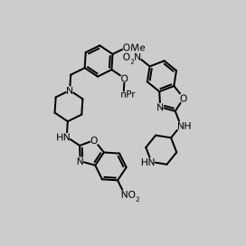 CCCOc1cc(CN2CCC(Nc3nc4cc([N+](=O)[O-])ccc4o3)CC2)ccc1OC.O=[N+]([O-])c1ccc2oc(NC3CCNCC3)nc2c1